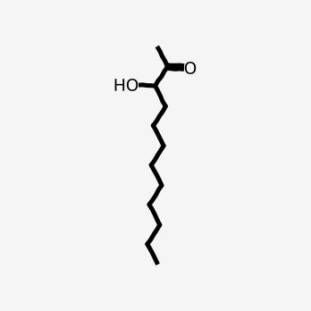 CCCCCCCCCC(O)C(C)=O